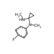 CNC1(N(C)c2ccc(F)cc2)CC1